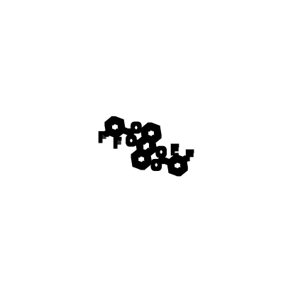 O=C(Oc1c2ccccc2c(OC(=O)c2cccc(F)c2F)c2ccccc12)c1cccc(F)c1F